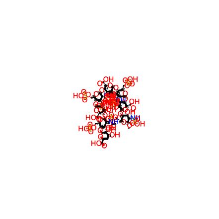 CO[C@H]1O[C@H](COS(=O)(=O)O)[C@@H](O[C@@H]2O[C@@H](C(=O)O)[C@@H](O[C@H]3O[C@H](COS(=O)(=O)O)[C@@H](O[C@@H]4O[C@@H](C(=O)O)[C@@H](O[C@H]5O[C@H](COS(=O)(=O)O)[C@@H](O[C@@H]6O[C@H](C(=O)O)[C@@H](O[C@H]7O[C@H](COS(=O)(=O)O)[C@@H](OC8OC(C(=O)O)=C[C@H](O)[C@H]8O)[C@H](O)[C@H]7NC(C)=O)[C@H](O)[C@H]6O)[C@H](OS(=O)(=O)O)[C@H]5NS(=O)(=O)O)[C@H](O)[C@H]4OS(=O)(=O)O)[C@H](O)[C@H]3NS(=O)(=O)O)[C@H](O)[C@H]2OS(=O)(=O)O)[C@H](O)[C@H]1NS(=O)(=O)O